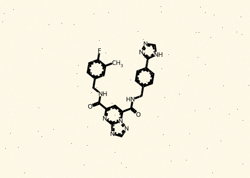 Cc1cc(CNC(=O)c2cc(C(=O)NCc3ccc(-c4nnc[nH]4)cc3)n3ncnc3n2)ccc1F